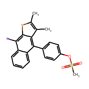 Cc1sc2c(I)c3ccccc3c(-c3ccc(OS(C)(=O)=O)cc3)c2c1C